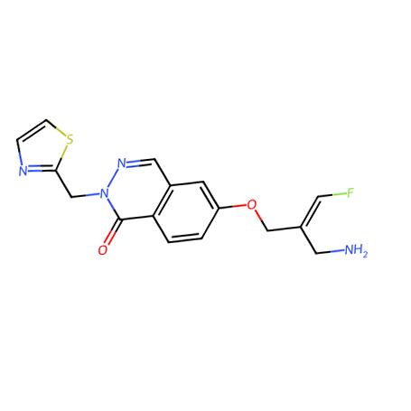 NCC(=CF)COc1ccc2c(=O)n(Cc3nccs3)ncc2c1